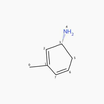 CC1=C[C@H](N)CC=C1